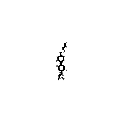 C=CCOCC1CCC(C2CCC(/C=C/CCC)CC2)CC1